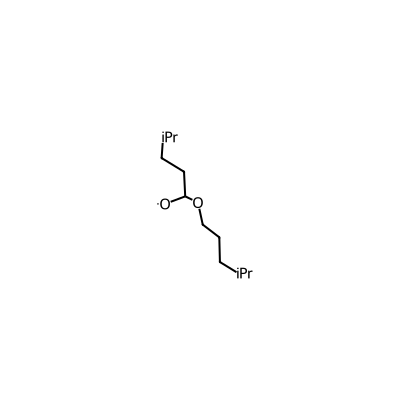 CC(C)CCCOC([O])CCC(C)C